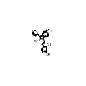 C/C=C\Cc1c(CCC)n(CCc2cnc(C)cc2O)c2ccc(C)cc12